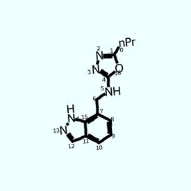 CCCc1nnc(NCc2cccc3cn[nH]c23)o1